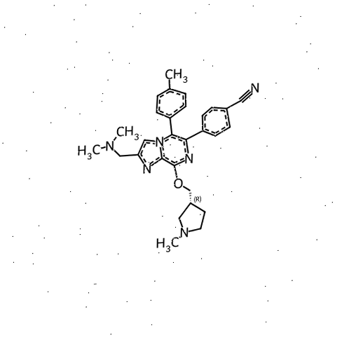 Cc1ccc(-c2c(-c3ccc(C#N)cc3)nc(OC[C@@H]3CCN(C)C3)c3nc(CN(C)C)cn23)cc1